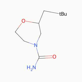 CC(C)(C)CC1CN(C(N)=O)CCO1